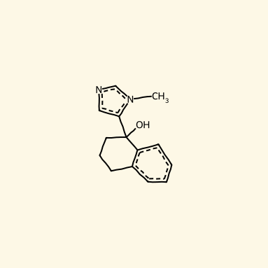 Cn1cncc1C1(O)CCCc2ccccc21